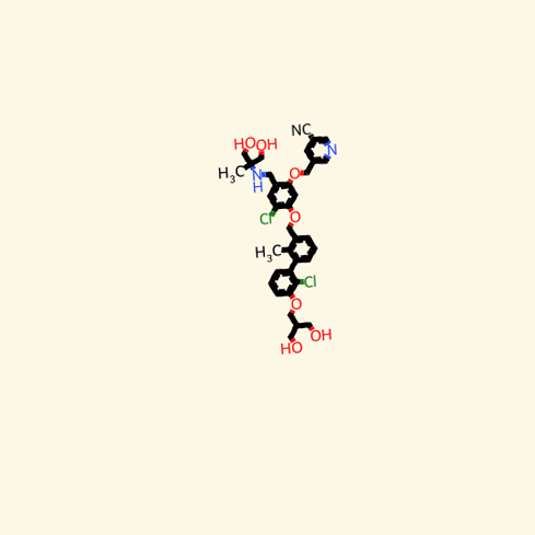 Cc1c(COc2cc(OCc3cncc(C#N)c3)c(CNC(C)(CO)CO)cc2Cl)cccc1-c1cccc(OCC(CO)CO)c1Cl